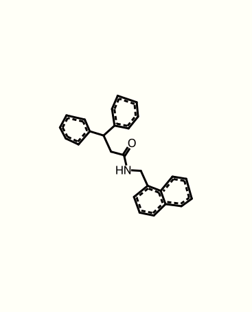 O=C(CC(c1ccccc1)c1ccccc1)NCc1cccc2ccccc12